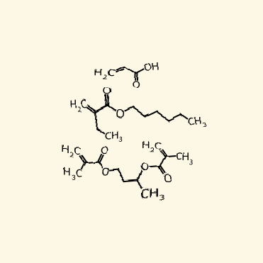 C=C(C)C(=O)OCCC(C)OC(=O)C(=C)C.C=C(CC)C(=O)OCCCCCC.C=CC(=O)O